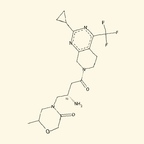 CC1CN(C[C@@H](N)CC(=O)N2CCc3c(nc(C4CC4)nc3C(F)(F)F)C2)C(=O)CO1